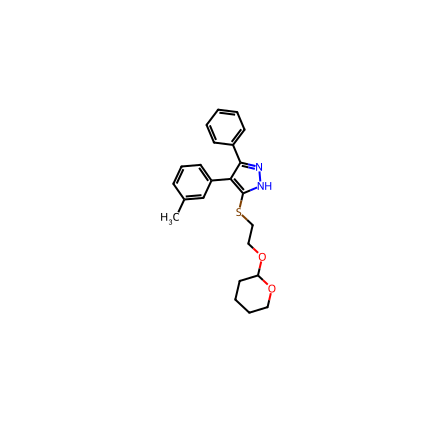 Cc1cccc(-c2c(-c3ccccc3)n[nH]c2SCCOC2CCCCO2)c1